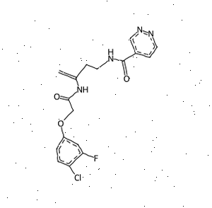 C=C(CCNC(=O)c1ccnnc1)NC(=O)COc1ccc(Cl)c(F)c1